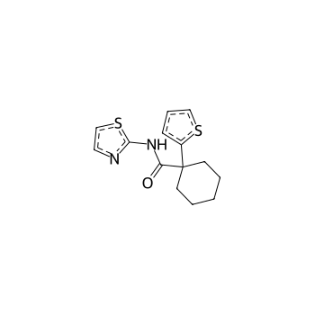 O=C(Nc1nccs1)C1(c2cccs2)CCCCC1